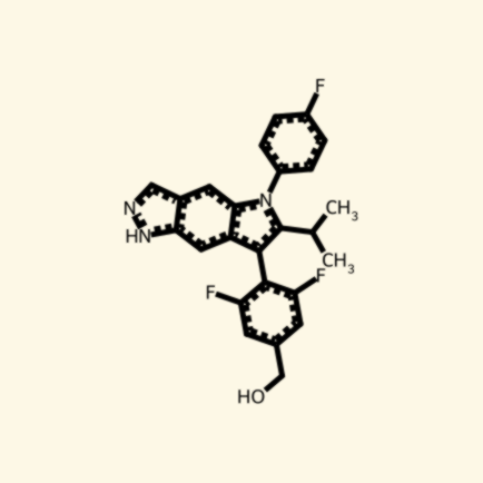 CC(C)c1c(-c2c(F)cc(CO)cc2F)c2cc3[nH]ncc3cc2n1-c1ccc(F)cc1